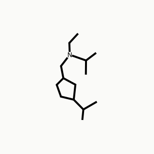 CCN(CC1CCC(C(C)C)C1)C(C)C